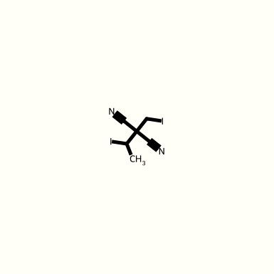 CC(I)C(C#N)(C#N)CI